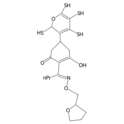 CCCC(=NOCC1CCCO1)C1=C(O)CC(C2=C(S)C(S)=C(S)OC2S)CC1=O